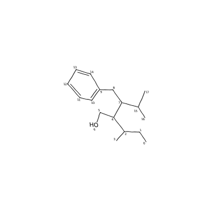 CCC(C)C(CO)[C](Cc1ccccc1)C(C)C